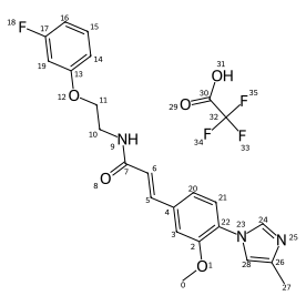 COc1cc(C=CC(=O)NCCOc2cccc(F)c2)ccc1-n1cnc(C)c1.O=C(O)C(F)(F)F